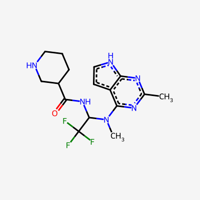 Cc1nc(N(C)C(NC(=O)C2CCCNC2)C(F)(F)F)c2cc[nH]c2n1